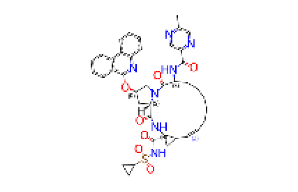 Cc1cnc(C(=O)N[C@H]2CCCCC/C=C\C3C[C@@]3(C(=O)NS(=O)(=O)C3CC3)NC(=O)[C@@H]3C[C@@H](Oc4nc5ccccc5c5ccccc45)CN3C2=O)cn1